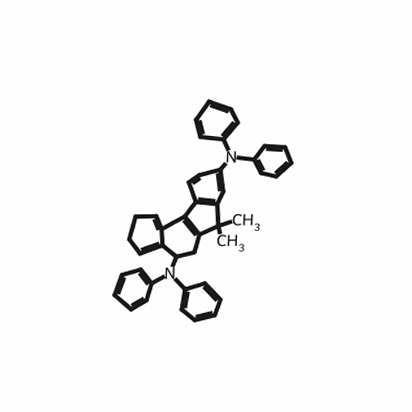 CC1(C)C2=C(C3=CCCC=C3C(N(c3ccccc3)c3ccccc3)C2)c2ccc(N(c3ccccc3)c3ccccc3)cc21